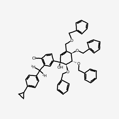 [2H]C([2H])(c1ccc(C2CC2)cc1)c1cc([C@]2(O)C=C(COCc3ccccc3)[C@@H](OCc3ccccc3)[C@H](OCc3ccccc3)[C@H]2OCc2ccccc2)ccc1Cl